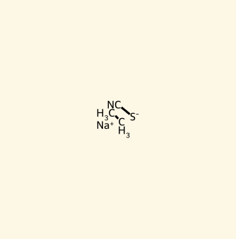 CC.N#C[S-].[Na+]